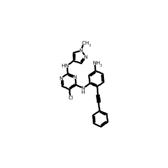 Cn1cc(Nc2ncc(Cl)c(Nc3cc(N)ccc3C#Cc3ccccc3)n2)cn1